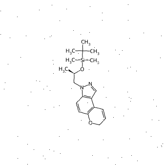 C[C@H](Cn1ncc2c3c(ccc21)OCC=C3)O[Si](C)(C)C(C)(C)C